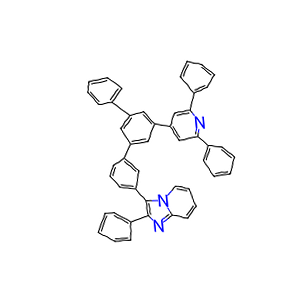 c1ccc(-c2cc(-c3cccc(-c4c(-c5ccccc5)nc5ccccn45)c3)cc(-c3cc(-c4ccccc4)nc(-c4ccccc4)c3)c2)cc1